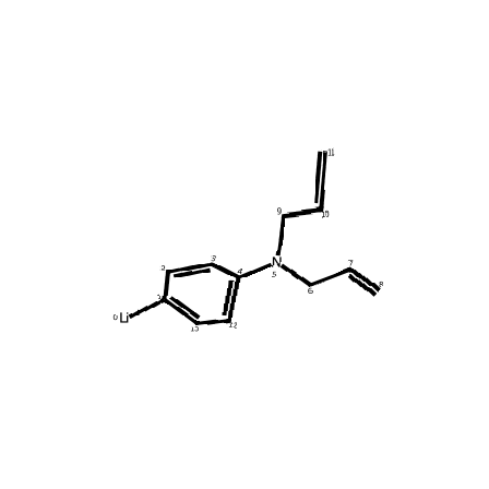 [Li][c]1ccc(N(CC=C)CC=C)cc1